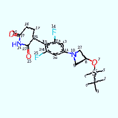 CC(C)(C)[Si](C)(C)OC1CN(c2cc(F)c(C3CCC(=O)NC3=O)c(F)c2)C1